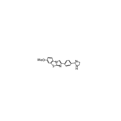 COc1ccc2c(c1)sc1nc(-c3ccc(C4=NCCN4)cc3)cn12